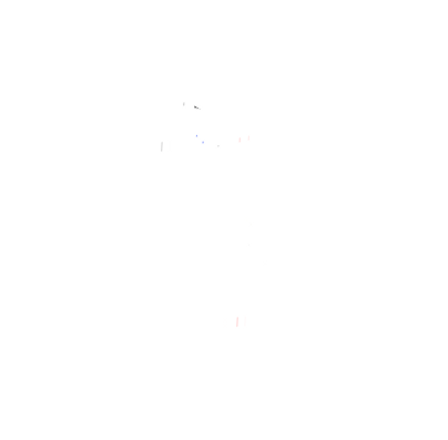 C[C@@H](c1ccccc1)N(C)C(=O)CCCSc1ccc(O)cc1